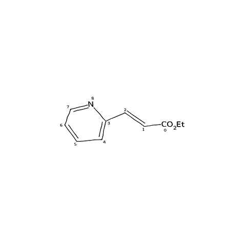 CCOC(=O)C=Cc1ccccn1